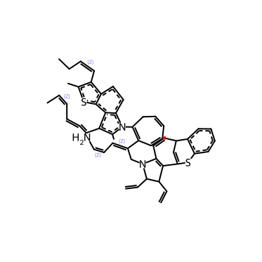 C=CC1C2=C(C=CC3C=C2Sc2ccccc23)N(C/C(=C\C=C/N)C2=C(n3c(C)c(C=C=C/C=C\C)c4c5sc(C)c(/C=C\CC)c5ccc43)CC=CC=C2)C1C=C